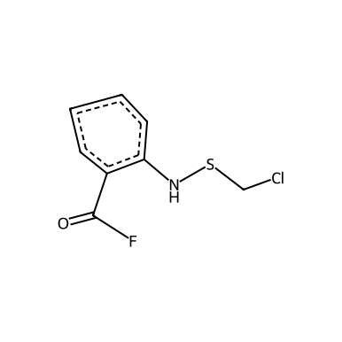 O=C(F)c1ccccc1NSCCl